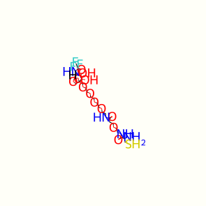 NC(CS)C(=O)NCCOCCC(=O)NCCOCCOCCOCCOC[C@@]12CO[C@H](O1)[C@@H](NC(=O)C(F)(F)F)[C@@H](O)[C@H]2O